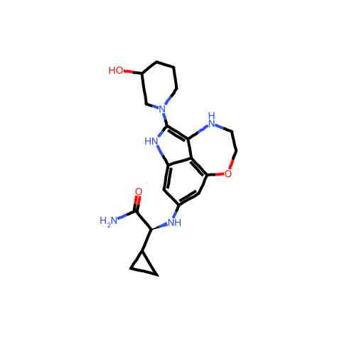 NC(=O)[C@@H](Nc1cc2c3c(c(N4CCCC(O)C4)[nH]c3c1)NCCO2)C1CC1